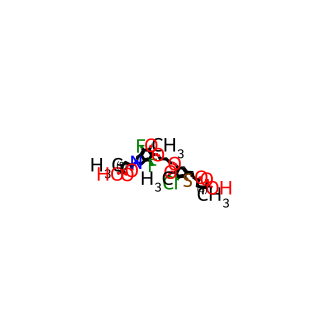 COc1c(F)c2c(c(F)c1OCCCOc1cc3cc(C(=O)C[C@H](C)C(=O)O)sc3c(Cl)c1OC)CN(C(=O)C[C@H](C)C(=O)O)C2